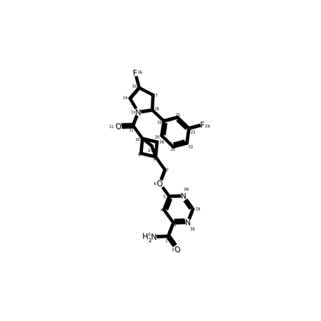 NC(=O)c1cc(OCC23CC(C(=O)N4CC(F)CC4c4cccc(F)c4)(C2)C3)ncn1